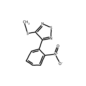 CSc1nsnc1-c1ccccc1[N+](=O)[O-]